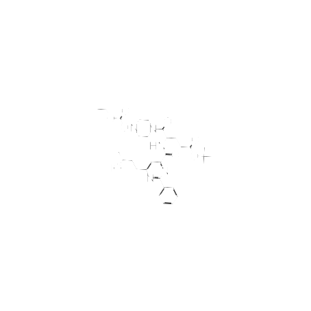 CCOC(=O)ON1CCN(C(=O)C(CCC(=O)OC(C)(C)C)NC(=O)c2cc(CC[C@H](C)O)nc(-c3ccccc3)n2)CC1